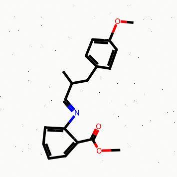 COC(=O)c1ccccc1N=CC(C)Cc1ccc(OC)cc1